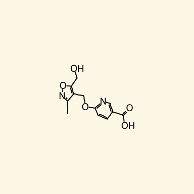 O=C(O)c1ccc(OCc2c(I)noc2CO)nc1